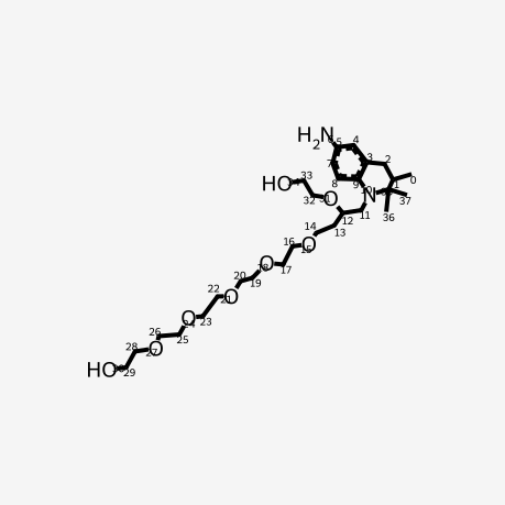 CC1Cc2cc(N)ccc2N(CC(CCOCCOCCOCCOCCOCCO)OCCO)C1(C)C